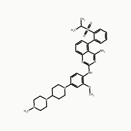 COc1cc(N2CCC(N3CCN(C)CC3)CC2)ccc1Nc1nc(N)c2c(-c3ccccc3S(=O)(=O)C(C)C)cccc2n1